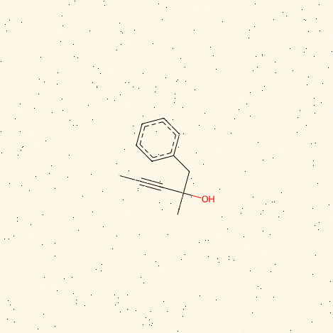 CC#CC(C)(O)Cc1ccccc1